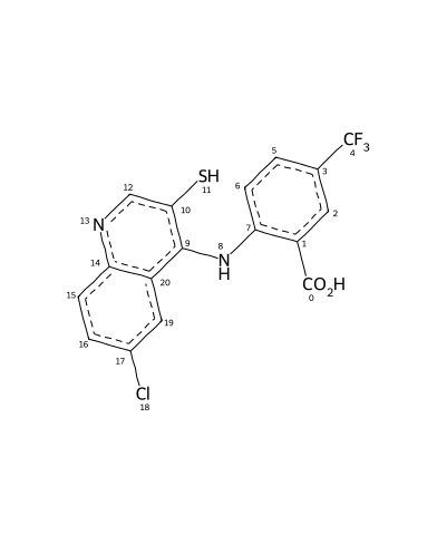 O=C(O)c1cc(C(F)(F)F)ccc1Nc1c(S)cnc2ccc(Cl)cc12